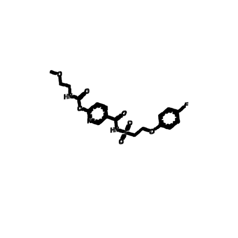 COCCNC(=O)Oc1ccc(C(=O)NS(=O)(=O)CCOc2ccc(F)cc2)cn1